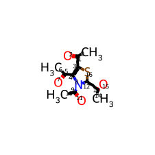 CC(=O)C1=C(C(C)=O)N(C(C)=O)C(C(C)=O)S1